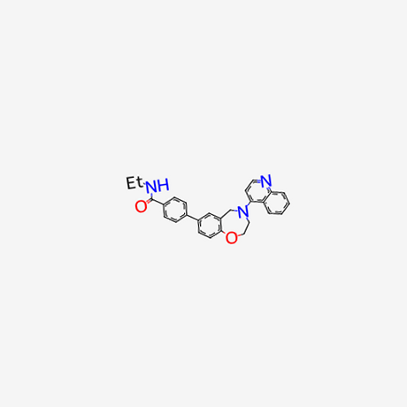 CCNC(=O)c1ccc(-c2ccc3c(c2)CN(c2ccnc4ccccc24)CCO3)cc1